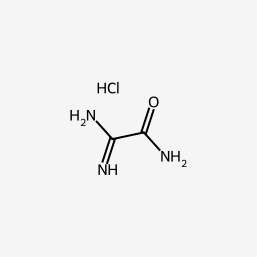 Cl.N=C(N)C(N)=O